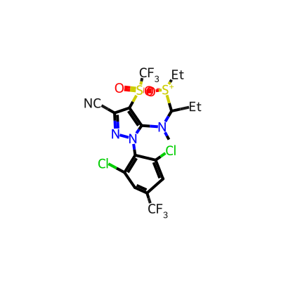 CCC(N(C)c1c(S(=O)(=O)C(F)(F)F)c(C#N)nn1-c1c(Cl)cc(C(F)(F)F)cc1Cl)[S+]([O-])CC